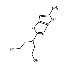 Nc1cc2oc(N(CCO)CCO)nc2[nH]1